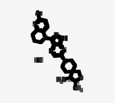 CC(=O)c1ccc2c(n1)CCCN2c1n[nH]c2nc(N3CCC4(CC3)CO[C@@H](C)[C@H]4N)cnc12.Cl